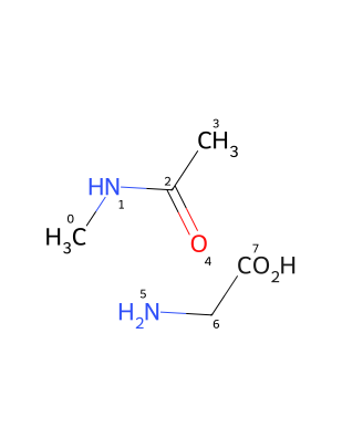 CNC(C)=O.NCC(=O)O